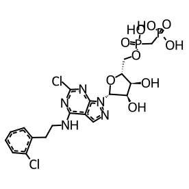 O=P(O)(O)CP(=O)(O)OC[C@H]1O[C@@H](n2ncc3c(NCCc4ccccc4Cl)nc(Cl)nc32)[C@H](O)[C@@H]1O